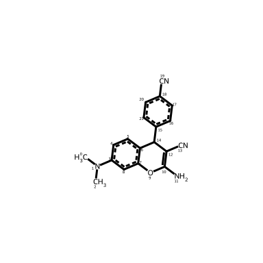 CN(C)c1ccc2c(c1)OC(N)=C(C#N)C2c1ccc(C#N)cc1